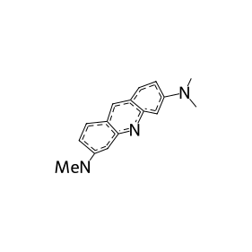 CNc1ccc2cc3ccc(N(C)C)cc3nc2c1